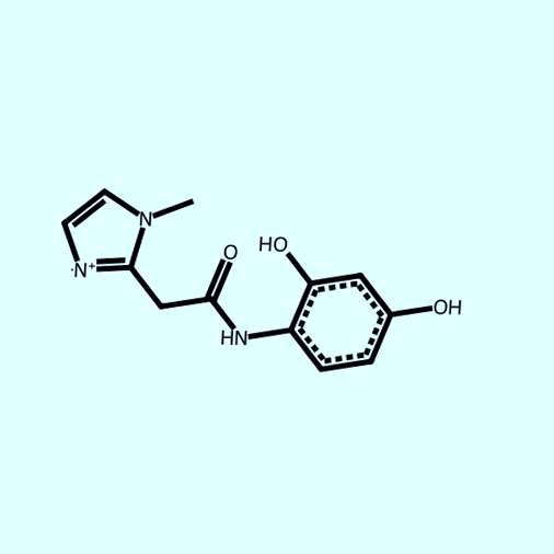 CN1C=C[N+]=C1CC(=O)Nc1ccc(O)cc1O